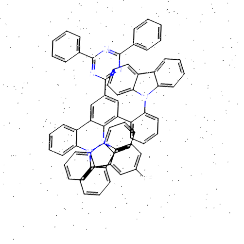 FC(F)(F)c1ccc2c(c1)c1ccccc1n2-c1c(-c2ccccc2-n2c3ccccc3c3ccccc32)cc(-c2nc(-c3ccccc3)nc(-c3ccccc3)n2)cc1-c1ccccc1-n1c2ccccc2c2ccccc21